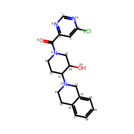 O=C(c1cc(Cl)ncn1)N1CCC(N2CCc3ccccc3C2)C(O)C1